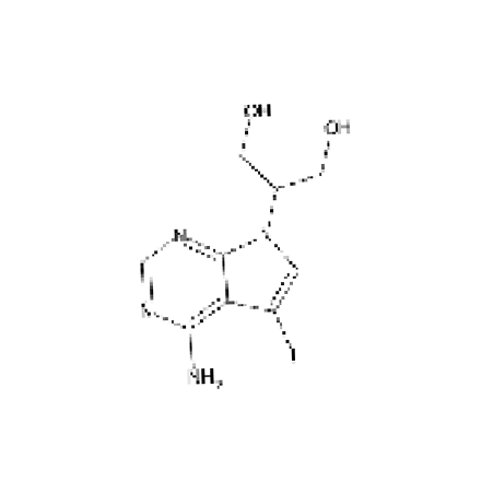 Nc1ncnc2c1c(I)cn2C(CO)CO